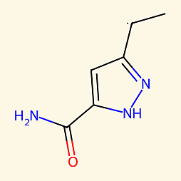 C[CH]c1cc(C(N)=O)[nH]n1